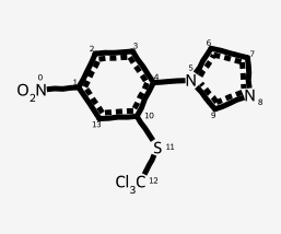 O=[N+]([O-])c1ccc(-n2ccnc2)c(SC(Cl)(Cl)Cl)c1